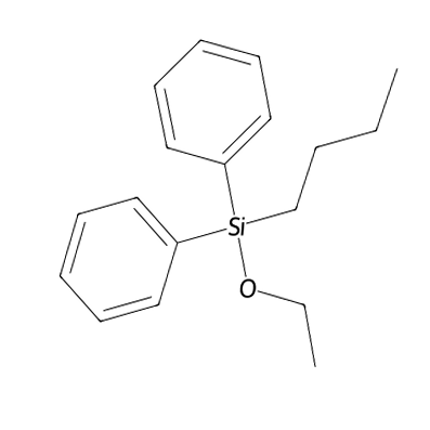 CCCC[Si](OCC)(c1ccccc1)c1ccccc1